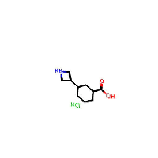 Cl.O=C(O)C1CCCC(C2CNC2)C1